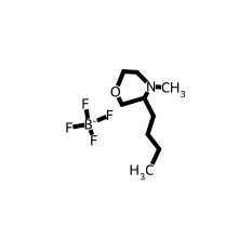 CCCCC1COCCN1C.F[B-](F)(F)F